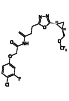 C=C(CCc1nnc([C@@H]2C[C@H]2COC(F)(F)F)o1)NC(=O)COc1ccc(Cl)c(F)c1